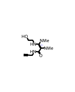 C#CCNC(=O)/C(NC)=C(/NC)NCCO